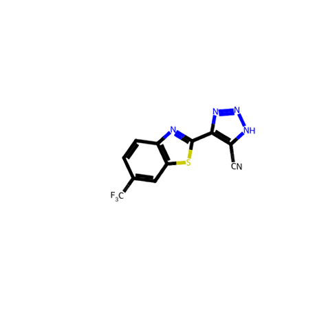 N#Cc1[nH]nnc1-c1nc2ccc(C(F)(F)F)cc2s1